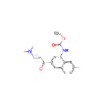 Cc1ccc2cc(C(=O)/C=C/N(C)C)cc(NC(=O)OC(C)(C)C)c2c1